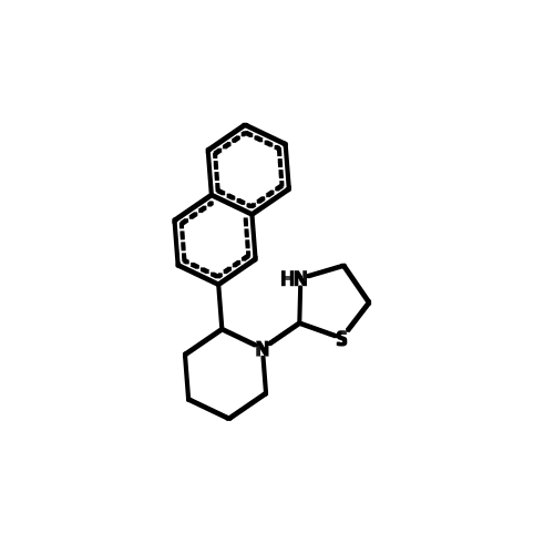 c1ccc2cc(C3CCCCN3C3NCCS3)ccc2c1